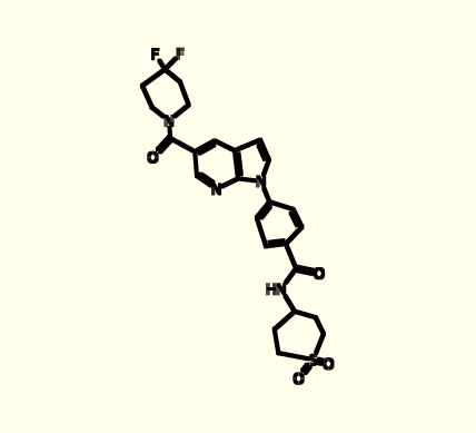 O=C(NC1CCS(=O)(=O)CC1)c1ccc(-n2ccc3cc(C(=O)N4CCC(F)(F)CC4)cnc32)cc1